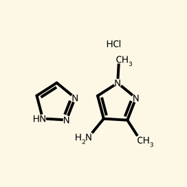 Cc1nn(C)cc1N.Cl.c1c[nH]nn1